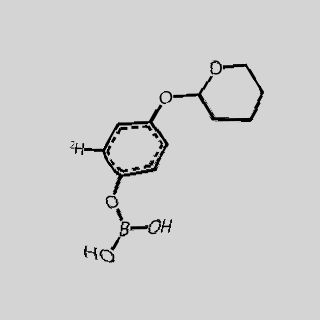 [2H]c1cc(OC2CCCCO2)ccc1OB(O)O